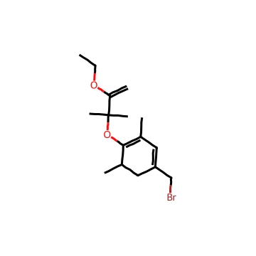 C=C(OCC)C(C)(C)OC1=C(C)C=C(CBr)CC1C